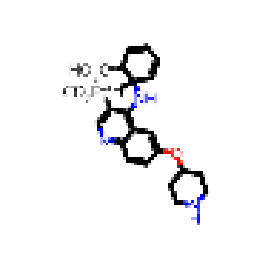 [2H]C1(Nc2c(C(=O)OCC)cnc3ccc(OC4CCNCC4)cc23)C=CC=CC1C(=O)O